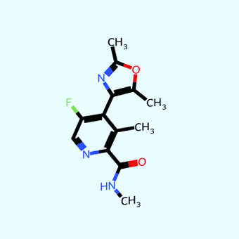 CNC(=O)c1ncc(F)c(-c2nc(C)oc2C)c1C